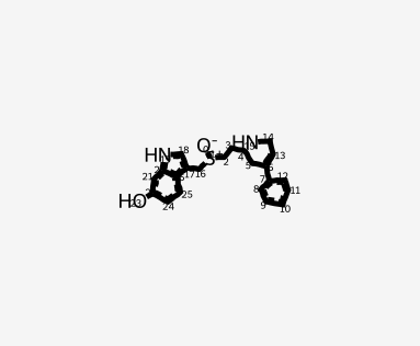 [O-][S+](CCC1CC(c2ccccc2)=CCN1)Cc1c[nH]c2cc(O)ccc12